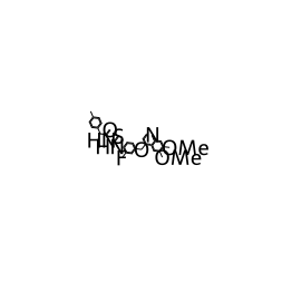 COc1cc2nccc(Oc3ccc(NC(=S)NC(=O)Cc4ccc(C)cc4)c(F)c3)c2cc1OC